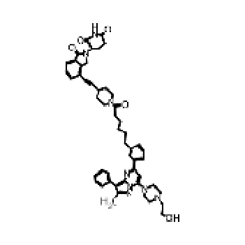 Cc1nn2c(N3CCN(CCO)CC3)cc(-c3cccc(CCCCCC(=O)N4CCC(C#Cc5cccc6c5CN(C5CCC(=O)NC5=O)C6=O)CC4)c3)nc2c1-c1ccccc1